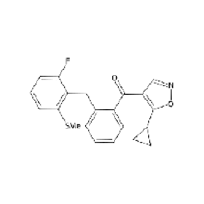 CSc1cccc(F)c1Cc1ccccc1C(=O)c1cnoc1C1CC1